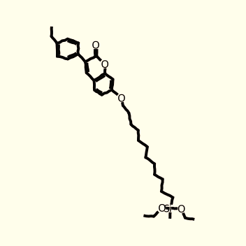 CCO[Si](C)(CCCCCCCCCCCCOc1ccc2cc(-c3ccc(CC)cc3)c(=O)oc2c1)OCC